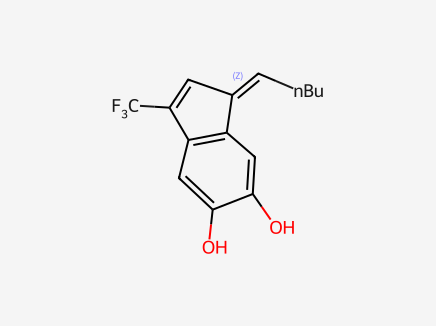 CCCC/C=C1/C=C(C(F)(F)F)c2cc(O)c(O)cc21